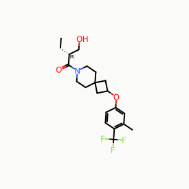 CC[C@H](CO)C(=O)N1CCC2(CC1)CC(Oc1ccc(C(F)(F)F)c(C)c1)C2